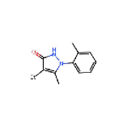 CCc1c(C)n(-c2ccccc2C)[nH]c1=O